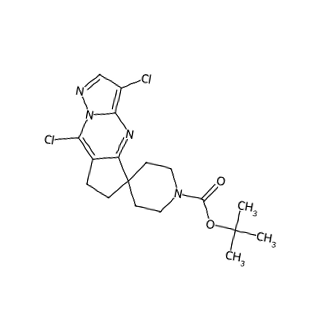 CC(C)(C)OC(=O)N1CCC2(CCc3c2nc2c(Cl)cnn2c3Cl)CC1